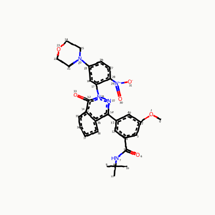 COc1cc(C(=O)NC(C)(C)C)cc(-c2nn(-c3cc(N4CCOCC4)ccc3[N+](=O)[O-])c(=O)c3ccccc23)c1